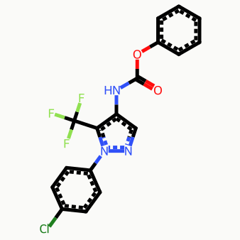 O=C(Nc1cnn(-c2ccc(Cl)cc2)c1C(F)(F)F)Oc1ccccc1